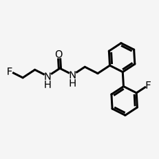 O=C(NCCF)NCCc1ccccc1-c1ccccc1F